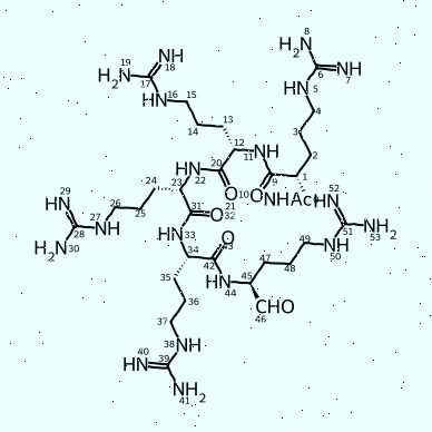 CC(=O)N[C@@H](CCCNC(=N)N)C(=O)N[C@@H](CCCNC(=N)N)C(=O)N[C@@H](CCCNC(=N)N)C(=O)N[C@@H](CCCNC(=N)N)C(=O)N[C@H](C=O)CCCNC(=N)N